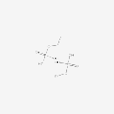 CCOP(=O)(O)O.O=P(O)(O)OCl